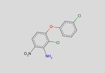 Nc1c([N+](=O)[O-])ccc(Oc2cccc(Cl)c2)c1Cl